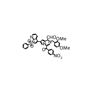 COc1ccc(CN2C=C(C(=O)c3ccc([N+](=O)[O-])cc3)n3cc(-c4cn(S(=O)(=O)c5ccccc5)c5ncccc45)cc3C2C=O)c(OC)c1